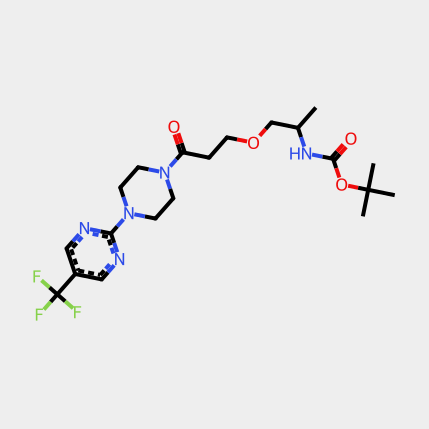 CC(COCCC(=O)N1CCN(c2ncc(C(F)(F)F)cn2)CC1)NC(=O)OC(C)(C)C